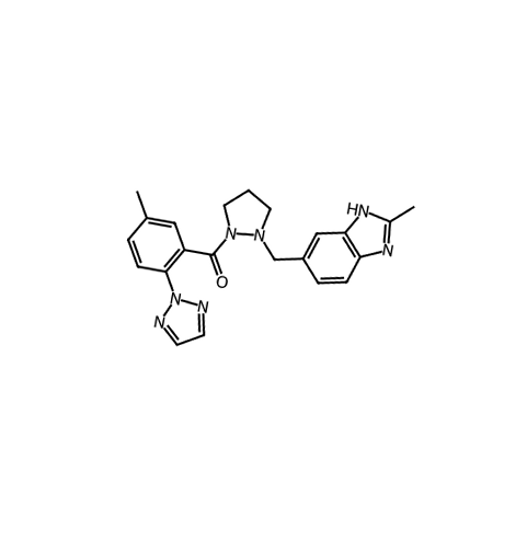 Cc1ccc(-n2nccn2)c(C(=O)N2CCCN2Cc2ccc3nc(C)[nH]c3c2)c1